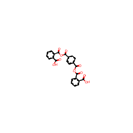 O=C(OC(=O)c1ccccc1C(=O)O)c1ccc(C(=O)OC(=O)c2ccccc2C(=O)O)cc1